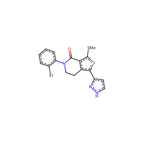 CCc1ccccc1N1CCc2c(-c3cc[nH]n3)sc(SC)c2C1=O